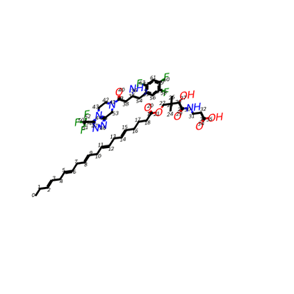 CCC=CCC=CCC=CCC=CCC=CCCCC(=O)OCC(C)(C)[C@@H](O)C(=O)NCCC(=O)O.N[C@@H](CC(=O)N1CCn2c(nnc2C(F)(F)F)C1)Cc1cc(F)c(F)cc1F